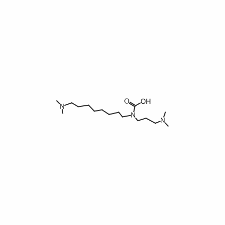 CN(C)CCCCCCCCN(CCCN(C)C)C(=O)O